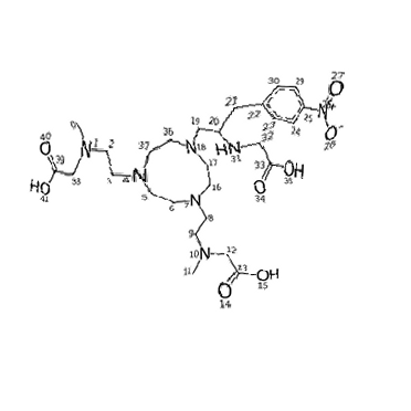 CN(CCN1CCN(CCN(C)CC(=O)O)CCN(CC(Cc2ccc([N+](=O)[O-])cc2)NCC(=O)O)CC1)CC(=O)O